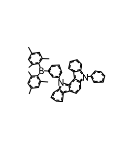 Cc1cc(C)c(B(c2cccc(-n3c4ccccc4c4ccc5c(c6ccccc6n5-c5ccccc5)c43)c2)c2c(C)cc(C)cc2C)c(C)c1